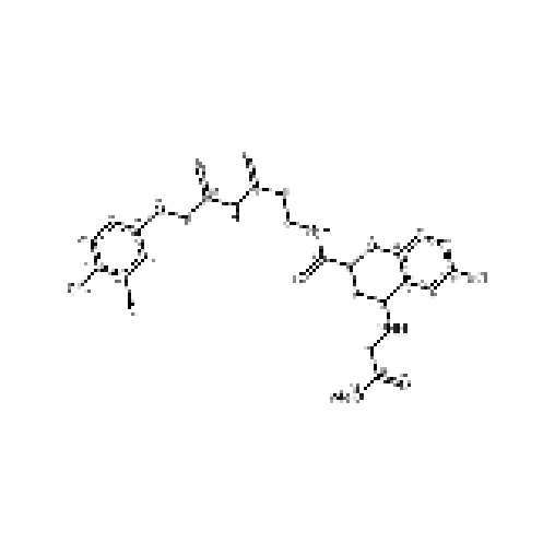 C=C(CCNC(=O)C1CC(NCC(=O)OC)c2cc(Cl)ccc2O1)NC(=O)COc1ccc(Cl)c(F)c1